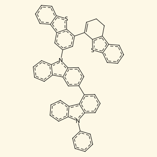 C1=C(c2cc(-n3c4ccccc4c4cc(-c5cccc6c5c5ccccc5n6-c5ccccc5)ccc43)cc3c2sc2ccccc23)c2sc3ccccc3c2CC1